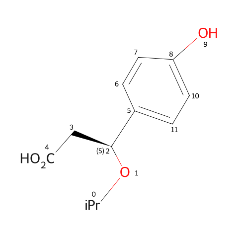 CC(C)O[C@@H](CC(=O)O)c1ccc(O)cc1